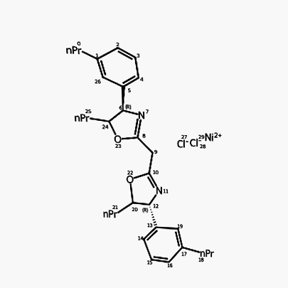 CCCc1cccc([C@H]2N=C(CC3=N[C@H](c4cccc(CCC)c4)C(CCC)O3)OC2CCC)c1.[Cl-].[Cl-].[Ni+2]